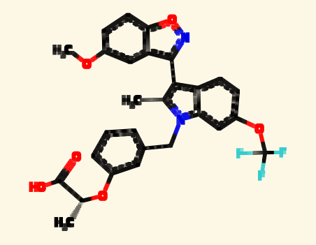 COc1ccc2onc(-c3c(C)n(Cc4cccc(O[C@H](C)C(=O)O)c4)c4cc(OC(F)(F)F)ccc34)c2c1